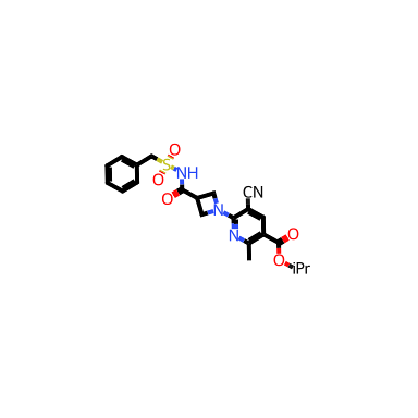 Cc1nc(N2CC(C(=O)NS(=O)(=O)Cc3ccccc3)C2)c(C#N)cc1C(=O)OC(C)C